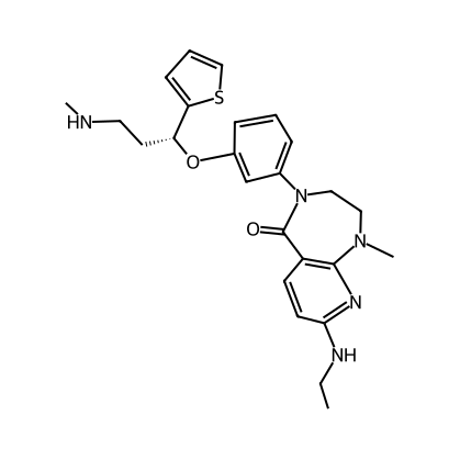 CCNc1ccc2c(n1)N(C)CCN(c1cccc(O[C@H](CCNC)c3cccs3)c1)C2=O